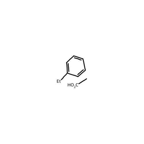 CC(=O)O.CCc1ccccc1